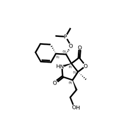 CP(C)O[C@@H]([C@@H]1C=CCCC1)[C@@]12NC(=O)[C@H](CCO)[C@]1(C)OC2=O